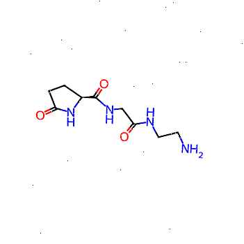 NCCNC(=O)CNC(=O)[C@@H]1CCC(=O)N1